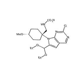 CCOC(OCC)c1cc2cnc(Cl)nc2n1[C@]1(CNC(=O)O)CC[C@H](OC)CC1